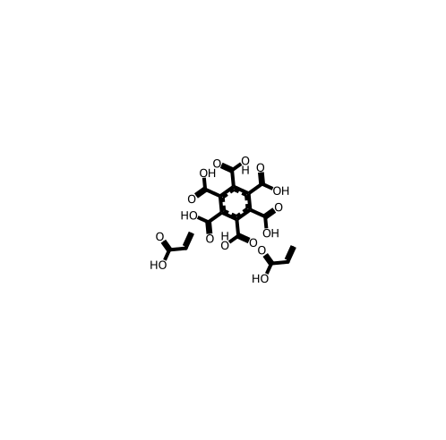 C=CC(=O)O.C=CC(=O)O.O=C(O)c1c(C(=O)O)c(C(=O)O)c(C(=O)O)c(C(=O)O)c1C(=O)O